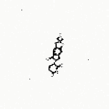 O=C1CCC(N2Cc3cc4c(cc3C2=O)CC2(CNC2)O4)C(=O)N1